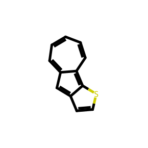 c1ccc2cc3ccsc3c-2cc1